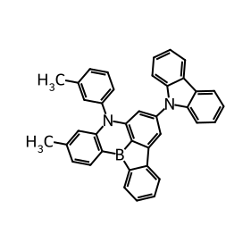 Cc1cccc(N2c3cc(C)ccc3B3c4ccccc4-c4cc(-n5c6ccccc6c6ccccc65)cc2c43)c1